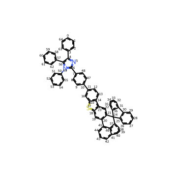 c1ccc(-c2nc(-c3ccc(-c4ccc5c(c4)sc4cc6c(cc45)C4(c5ccccc5-c5ccccc54)c4cccc5cccc-6c45)cc3)n(-c3ccccc3)c2-c2ccccc2)cc1